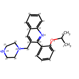 CC(C)Oc1ccccc1-c1nc2ccccc2cc1CN1CCNCC1